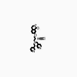 CN1CCc2ccc(OCCCN(CCc3cccnc3)Cc3ccncc3)cc2C1=O.Cl.Cl.Cl